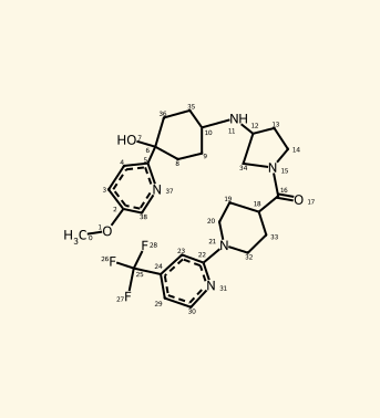 COc1ccc(C2(O)CCC(NC3CCN(C(=O)C4CCN(c5cc(C(F)(F)F)ccn5)CC4)C3)CC2)nc1